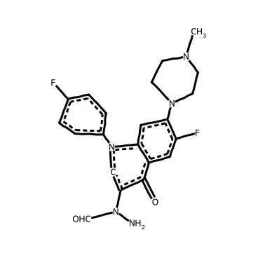 CN1CCN(c2cc3c(cc2F)c(=O)c(N(N)C=O)cn3-c2ccc(F)cc2)CC1